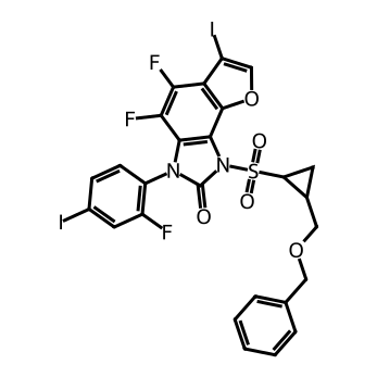 O=c1n(-c2ccc(I)cc2F)c2c(F)c(F)c3c(I)coc3c2n1S(=O)(=O)C1CC1COCc1ccccc1